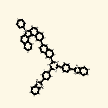 c1ccc(-n2c3ccc4ccccc4c3c3c4cc(-c5ccc6cc(-c7nc(-c8ccc(-c9nc%10ccccc%10o9)cc8)nc(-c8ccc(-c9nc%10ccccc%10o9)cc8)n7)ccc6c5)ccc4ccc32)cc1